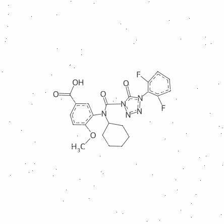 COc1ccc(C(=O)O)cc1N(C(=O)n1nnn(-c2c(F)cccc2F)c1=O)C1CCCCC1